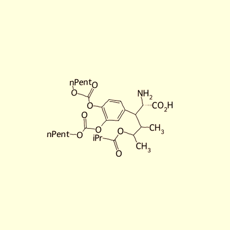 CCCCCOC(=O)Oc1ccc(C(C(C)C(C)OC(=O)C(C)C)[C@H](N)C(=O)O)cc1OC(=O)OCCCCC